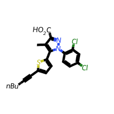 CCCCC#Cc1ccc(-c2c(C)c(C(=O)O)nn2-c2ccc(Cl)cc2Cl)s1